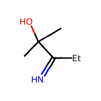 CCC(=N)C(C)(C)O